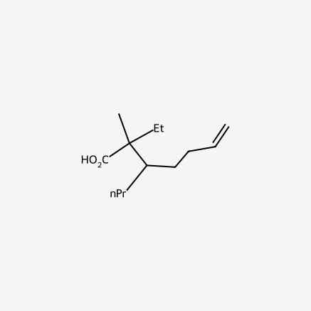 C=CCCC(CCC)C(C)(CC)C(=O)O